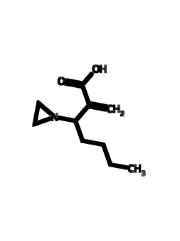 C=C(C(=O)O)C(CCCC)N1CC1